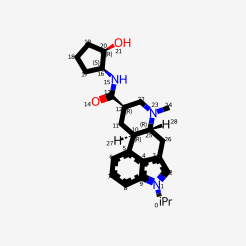 CC(C)n1cc2c3c(cccc31)[C@H]1C[C@@H](C(=O)N[C@H]3CCC[C@H]3O)CN(C)[C@@H]1C2